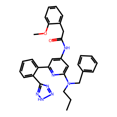 CCCN(Cc1ccccc1)c1cc(NC(=O)Cc2ccccc2OC)cc(-c2ccccc2-c2nn[nH]n2)n1